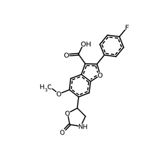 COc1cc2c(C(=O)O)c(-c3ccc(F)cc3)oc2cc1C1CNC(=O)O1